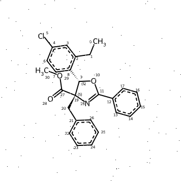 CCc1cc(Cl)ccc1[C@@H]1OC(c2ccccc2)=N[C@]1(Cc1ccccc1)C(=O)OC